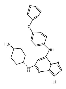 N[C@H]1CC[C@H](Nc2cc(Nc3ccc(Oc4ccccc4)cc3)n3ncc(Cl)c3n2)CC1